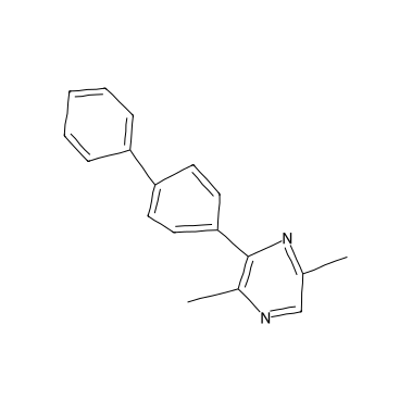 Cc1cnc(C)c(-c2ccc(-c3ccccc3)cc2)n1